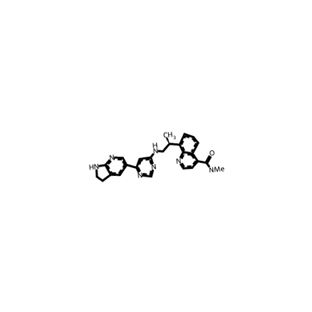 CNC(=O)c1ccnc2c([C@H](C)CNc3cc(-c4cnc5c(c4)CCN5)ncn3)cccc12